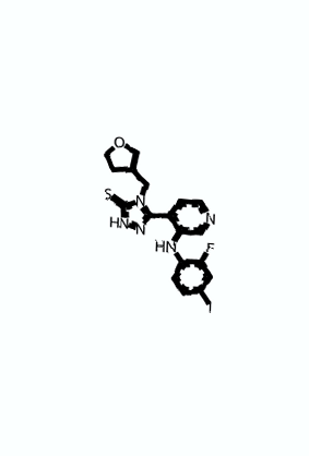 Fc1cc(I)ccc1Nc1cnccc1-c1n[nH]c(=S)n1CC1CCOC1